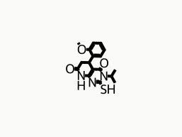 COc1ccccc1C1CC(=O)Nc2nc(S)n(C(C)C)c(=O)c21